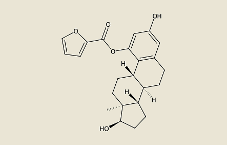 C[C@]12CC[C@@H]3c4c(cc(O)cc4OC(=O)c4ccco4)CC[C@H]3[C@@H]1CC[C@H]2O